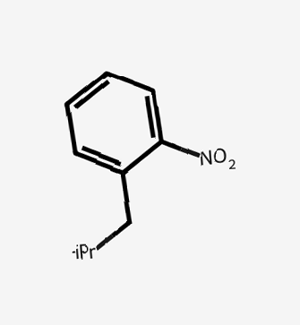 C[C](C)Cc1ccccc1[N+](=O)[O-]